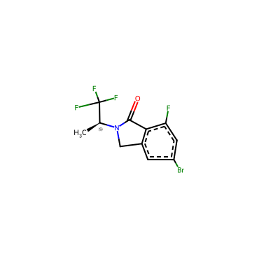 C[C@H](N1Cc2cc(Br)cc(F)c2C1=O)C(F)(F)F